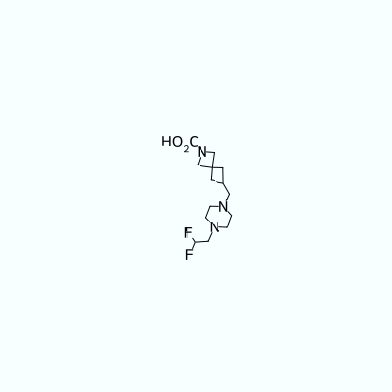 O=C(O)N1CC2(CC(CN3CCN(CC(F)F)CC3)C2)C1